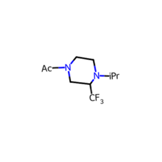 CC(=O)N1CCN(C(C)C)C(C(F)(F)F)C1